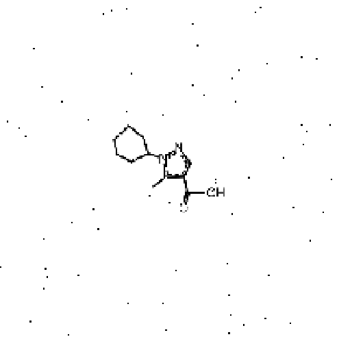 Cc1c(C(=O)O)cnn1C1CCCCC1